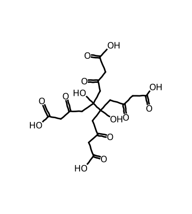 O=C(O)CC(=O)CC(O)(CC(=O)CC(=O)O)C(O)(CC(=O)CC(=O)O)CC(=O)CC(=O)O